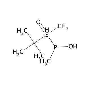 CP(O)[SH](C)(=O)C(C)(C)C